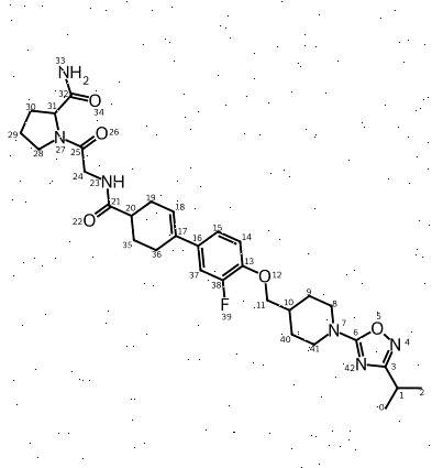 CC(C)c1noc(N2CCC(COc3ccc(C4=CCC(C(=O)NCC(=O)N5CCCC5C(N)=O)CC4)cc3F)CC2)n1